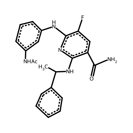 CC(=O)Nc1cccc(Nc2nc(NC(C)c3ccccc3)c(C(N)=O)cc2F)c1